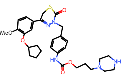 COc1ccc(C2=NN(Cc3ccc(NC(=O)OCCCN4CCNCC4)cc3)C(=O)SC2)cc1OC1CCCC1